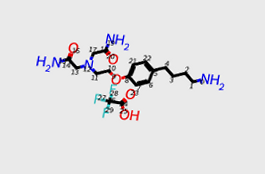 NCCCCc1ccc(OCCN(CC(N)=O)CC(N)=O)cc1.O=C(O)C(F)(F)F